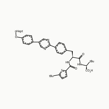 CCCCCCCOc1ccc(-c2cnc(-c3ccc(C[C@H](NC(=O)c4ccc(C(C)(C)C)s4)C(=O)N[C@H](C(=O)O)C(C)(C)C)cc3)nc2)cc1